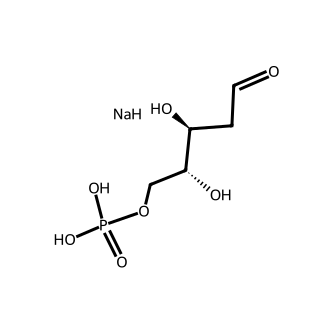 O=CC[C@H](O)[C@H](O)COP(=O)(O)O.[NaH]